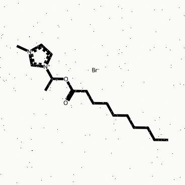 CCCCCCCCCC(=O)OC(C)[n+]1ccn(C)c1.[Br-]